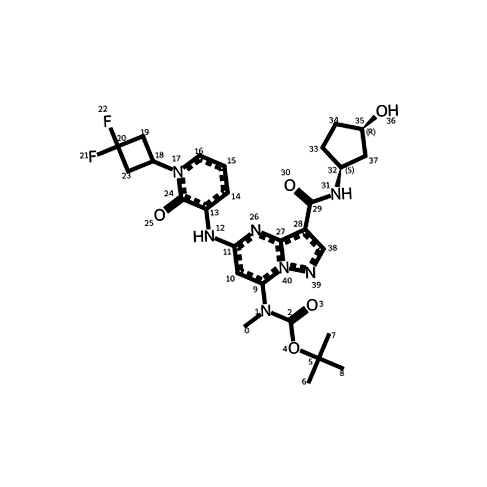 CN(C(=O)OC(C)(C)C)c1cc(Nc2cccn(C3CC(F)(F)C3)c2=O)nc2c(C(=O)N[C@H]3CC[C@@H](O)C3)cnn12